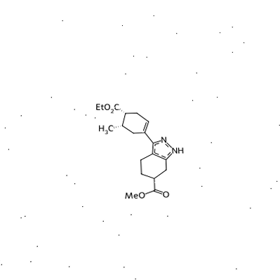 CCOC(=O)[C@@H]1CC=C(c2n[nH]c3c2CCC(C(=O)OC)C3)C[C@@H]1C